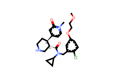 COCCOc1ccc(Cl)c(CN(C(=O)[C@@H]2CNCC[C@H]2c2ccn(C)c(=O)c2)C2CC2)c1